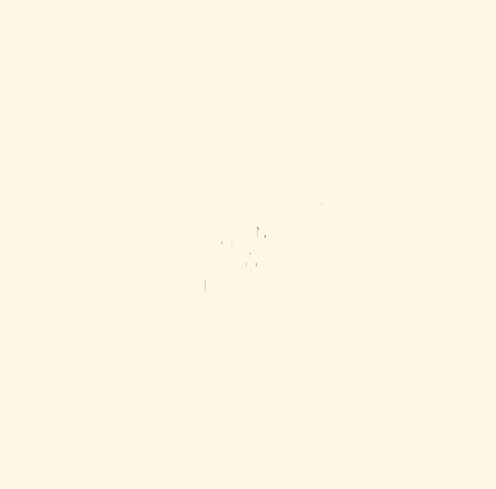 CC(O)CCOC(=O)N(C)C1c2ccccc2-c2ccccc21